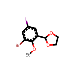 CCOc1c(Br)cc(I)cc1C1OCCO1